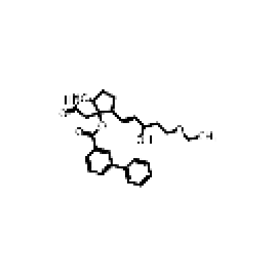 CCOCCC(O)C=CC1CCC(O)C1(CC(=O)O)OC(=O)c1cccc(-c2ccccc2)c1